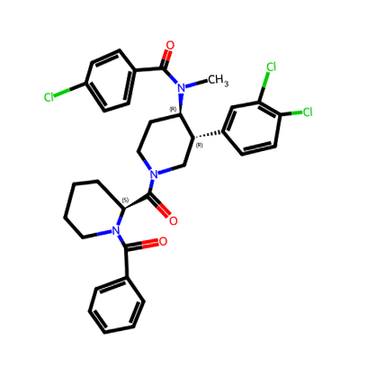 CN(C(=O)c1ccc(Cl)cc1)[C@@H]1CCN(C(=O)[C@@H]2CCCCN2C(=O)c2ccccc2)C[C@H]1c1ccc(Cl)c(Cl)c1